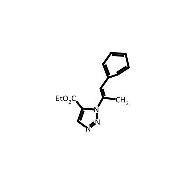 CCOC(=O)c1cnnn1C(C)=Cc1ccccc1